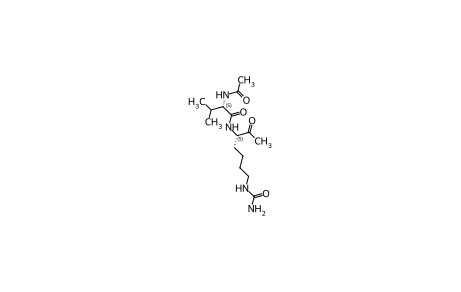 CC(=O)N[C@H](C(=O)N[C@@H](CCCCNC(N)=O)C(C)=O)C(C)C